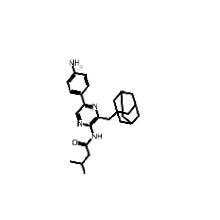 CC(C)CC(=O)Nc1ncc(-c2ccc(N)cc2)nc1CC12CC3CC(CC(C3)C1)C2